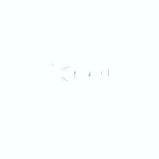 CCC(=O)Cc1cc(C)cc(C)c1